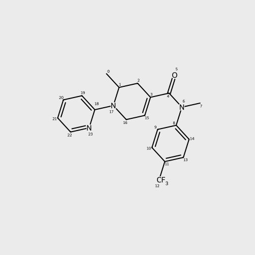 CC1CC(C(=O)N(C)c2ccc(C(F)(F)F)cc2)=CCN1c1ccccn1